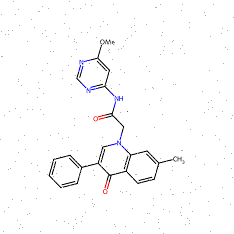 COc1cc(NC(=O)Cn2cc(-c3ccccc3)c(=O)c3ccc(C)cc32)ncn1